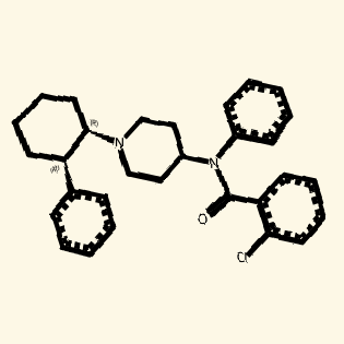 O=C(c1ccccc1Cl)N(c1ccccc1)C1CCN([C@@H]2CCCC[C@@H]2c2ccccc2)CC1